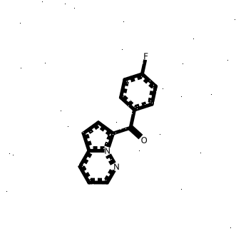 O=C(c1ccc(F)cc1)c1ccc2cccnn12